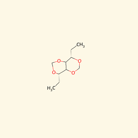 CC[C@@H]1OCOC2C1OCO[C@H]2CC